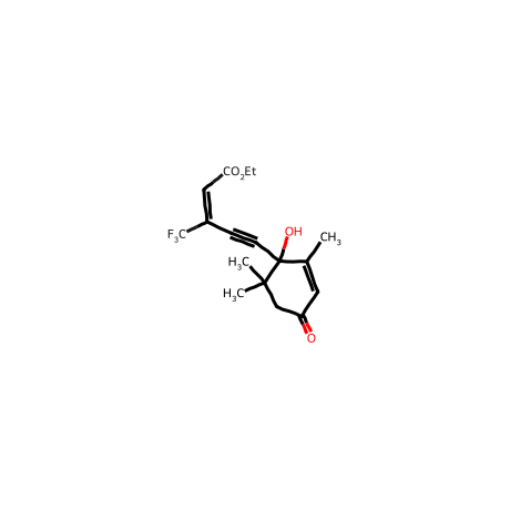 CCOC(=O)/C=C(\C#CC1(O)C(C)=CC(=O)CC1(C)C)C(F)(F)F